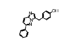 Oc1ccc(Cc2cnc3ccc(-c4ccccc4)nn23)cc1